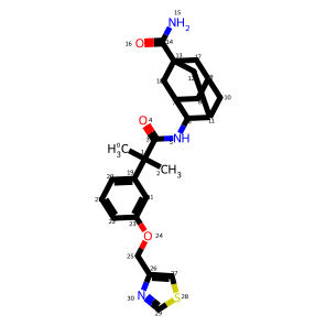 CC(C)(C(=O)NC1C2CC3CC1CC(C(N)=O)(C3)C2)c1cccc(OCc2cscn2)c1